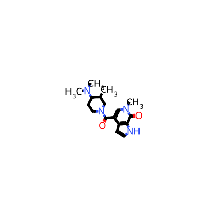 CC1CN(C(=O)c2cn(C)c(=O)c3[nH]ccc23)CCC1N(C)C